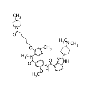 COc1cc(C(=O)N(C)c2ccc(C)cc2OCCCCCC(=O)N2CCN(C)CC2)ccc1NC(=O)c1cccc2[nH]c(N3CCC(N(C)C)CC3)nc12